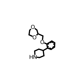 c1ccc(C2CCNCC2)c(OCC2COCCO2)c1